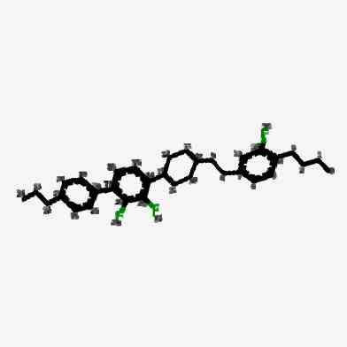 CCCCc1ccc(CCC2CCC(c3ccc(-c4ccc(CCC)cc4)c(F)c3F)CC2)cc1F